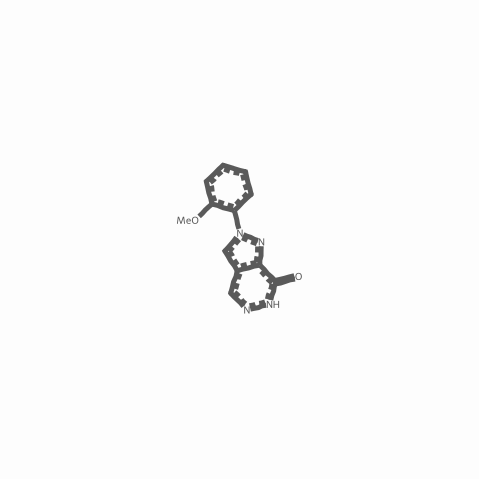 COc1ccccc1-n1cc2cn[nH]c(=O)c2n1